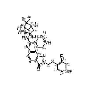 C[C@H]1[C@@H](NC(=Nc2ccc3c(c2)CN(CCc2ccc(F)cc2F)C3=O)N2CCN[C@@H](C)C2)C[C@@H]2C[C@@H]1C2(C)C